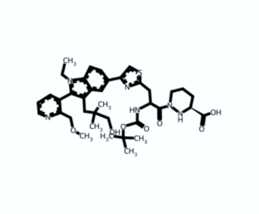 CCn1c(-c2cccnc2COC)c(CC(C)(C)CO)c2cc(-c3csc(CC(NC(=O)OC(C)(C)C)C(=O)N4CCC[C@@H](C(=O)O)N4)n3)ccc21